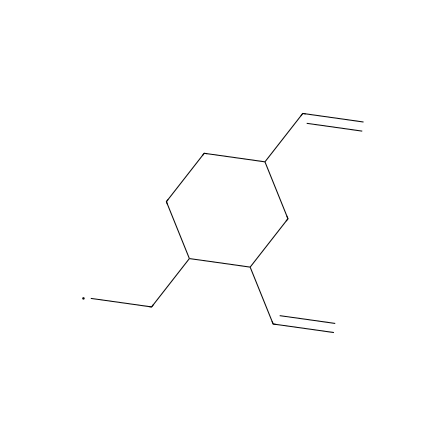 [CH2]CC1CCC(C=C)CC1C=C